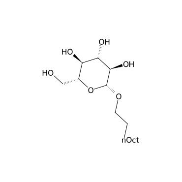 CCCCCCCCCCO[C@@H]1O[C@H](CO)[C@@H](O)[C@H](O)[C@H]1O